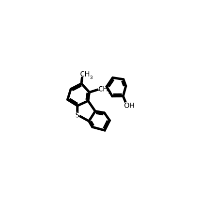 Cc1ccc2sc3ccccc3c2c1C.Oc1ccccc1